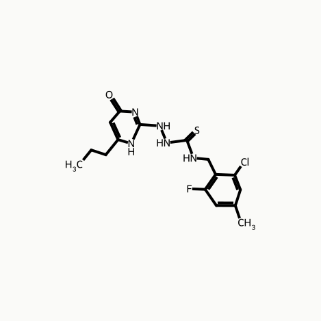 CCCc1cc(=O)nc(NNC(=S)NCc2c(F)cc(C)cc2Cl)[nH]1